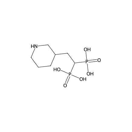 O=P(O)(O)C(CC1CCCNC1)P(=O)(O)O